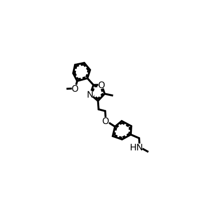 CNCc1ccc(OCCc2nc(-c3ccccc3OC)oc2C)cc1